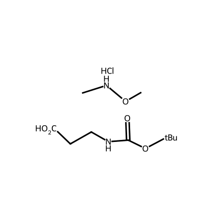 CC(C)(C)OC(=O)NCCC(=O)O.CNOC.Cl